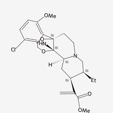 C=C(C(=O)OC)[C@H]1C[C@@H]2N(CC[C@@]34OCCO[C@@]23Nc2c(Cl)ccc(OC)c24)C[C@H]1CC